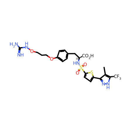 Cc1c(-c2ccc(S(=O)(=O)N[C@@H](Cc3ccc(OCCCONC(=N)N)cc3)C(=O)O)s2)n[nH]c1C(F)(F)F